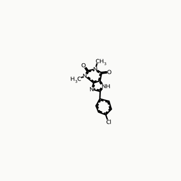 Cn1c(=O)c2[nH]c(-c3ccc(Cl)cc3)nc2n(C)c1=O